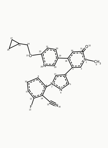 Cn1cc(-c2cnn(-c3cccc(F)c3C#N)c2)c(-c2ccc(OCC3CC3)nc2)cc1=O